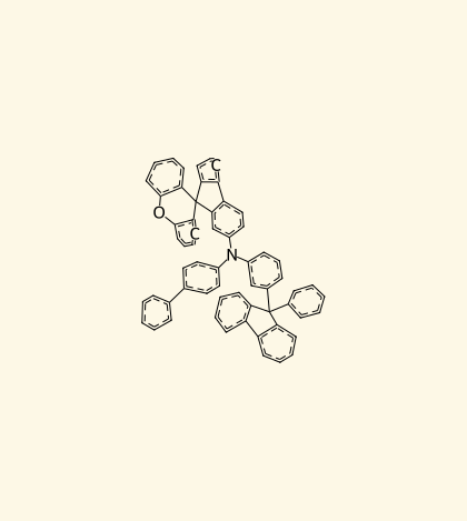 c1ccc(-c2ccc(N(c3cccc(C4(c5ccccc5)c5ccccc5-c5ccccc54)c3)c3ccc4c(c3)C3(c5ccccc5Oc5ccccc53)c3ccccc3-4)cc2)cc1